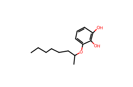 CCCCCCC(C)Oc1cccc(O)c1O